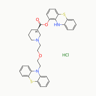 Cl.O=C(Oc1cccc2c1Nc1ccccc1S2)[C@@H]1CCCN(CCOCCN2c3ccccc3Sc3ccccc32)C1